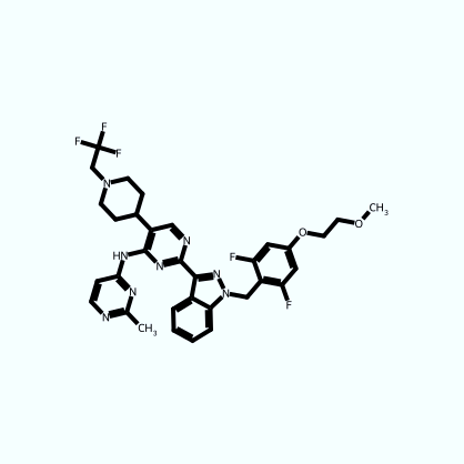 COCCOc1cc(F)c(Cn2nc(-c3ncc(C4CCN(CC(F)(F)F)CC4)c(Nc4ccnc(C)n4)n3)c3ccccc32)c(F)c1